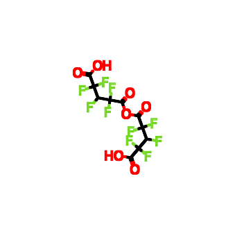 O=C(O)C(F)(F)C(F)C(F)(F)C(=O)OC(=O)C(F)(F)C(F)C(F)(F)C(=O)O